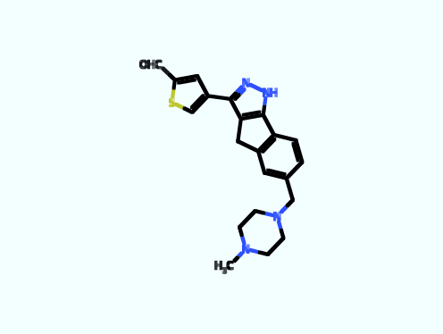 CN1CCN(Cc2ccc3c(c2)Cc2c(-c4csc(C=O)c4)n[nH]c2-3)CC1